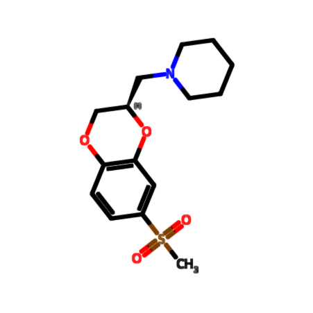 CS(=O)(=O)c1ccc2c(c1)O[C@H](CN1CCCCC1)CO2